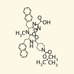 CN(C(=O)C(Cc1ccc2ccccc2c1)NC(=O)C1CCN(C(=O)OC(C)(C)C)CC1)C(Cc1ccc2ccccc2c1)c1nc(C(=O)O)no1